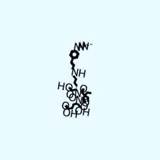 CCC1(CC)C(=O)N(C(CCC(=O)O)C(=O)O)C(=O)N([C@@H](CCCCNCC=Cc2ccc(N=[N+]=[N-])cc2)C(=O)O)C1=O